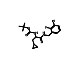 CC(C)(C)OC(=O)NC(CC1CC1)C(=O)NCc1cccc(Cl)c1F